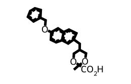 CC1(C(=O)O)OCC(Cc2ccc3cc(OCc4ccccc4)ccc3c2)CO1